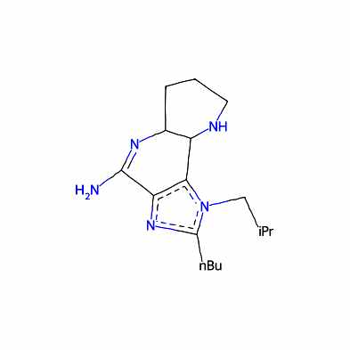 CCCCc1nc2c(n1CC(C)C)C1NCCCC1N=C2N